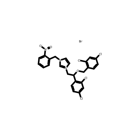 O=[N+]([O-])c1ccccc1Cn1cc[n+](CC(OCc2ccc(Cl)cc2Cl)c2ccc(Cl)cc2Cl)c1.[Br-]